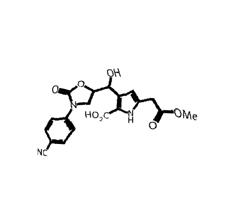 COC(=O)Cc1cc(C(O)C2CN(c3ccc(C#N)cc3)C(=O)O2)c(C(=O)O)[nH]1